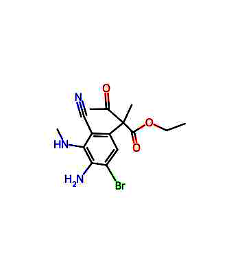 CCOC(=O)C(C)(C(C)=O)c1cc(Br)c(N)c(NC)c1C#N